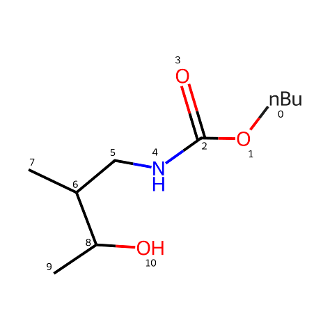 CCCCOC(=O)NCC(C)C(C)O